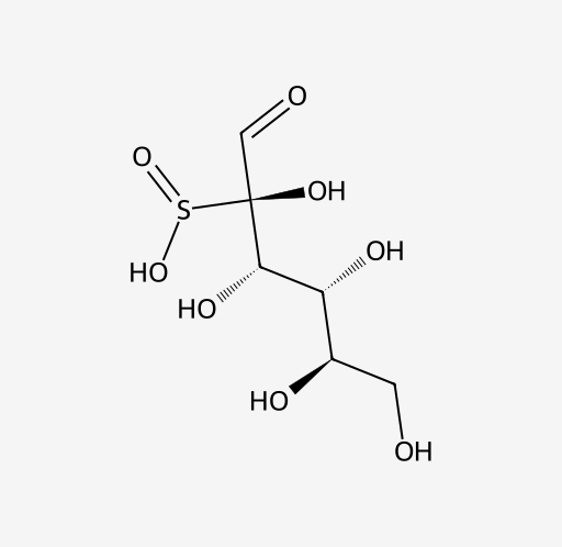 O=C[C@](O)([C@@H](O)[C@H](O)[C@H](O)CO)S(=O)O